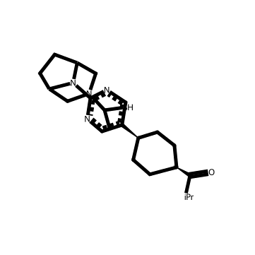 CC(C)C(=O)[C@H]1CC[C@@H](c2cnc(N3C4CCC3CN(C(C)S)C4)nc2)CC1